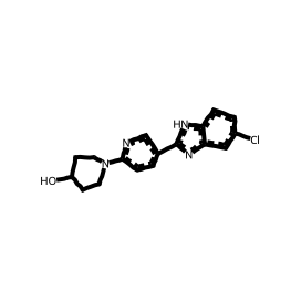 OC1CCN(c2ccc(-c3nc4cc(Cl)ccc4[nH]3)cn2)CC1